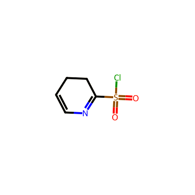 O=S(=O)(Cl)C1=NC=CCC1